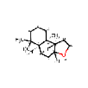 CCC12CC[C@H]3C(C)(C)CCC[C@@]3(C)[C@@H]1CCO2